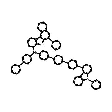 c1ccc(-c2ccc(N(c3ccc(-c4ccc(-c5ccc(-c6cccc7c6c6ccccc6n7-c6ccccc6)cc5)cc4)cc3)c3cccc4c3oc3c(-c5ccccc5)cc5ccccc5c34)cc2)cc1